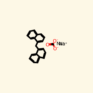 O=C([O-])[O-].[Na+].[Na+].c1ccc2c(Cc3cccc4ccccc34)cccc2c1